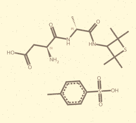 C[C@@H](NC(=O)[C@@H](N)CC(=O)O)C(=O)NC1C(C)(C)SC1(C)C.Cc1ccc(S(=O)(=O)O)cc1